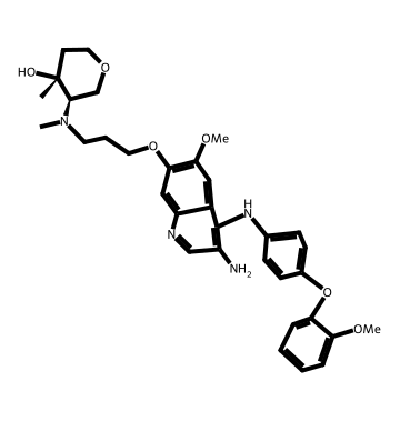 COc1cc2c(Nc3ccc(Oc4ccccc4OC)cc3)c(N)cnc2cc1OCCCN(C)[C@@H]1COCC[C@@]1(C)O